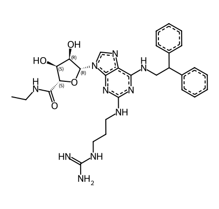 CCNC(=O)[C@H]1O[C@@H](n2cnc3c(NCC(c4ccccc4)c4ccccc4)nc(NCCCNC(=N)N)nc32)[C@H](O)[C@@H]1O